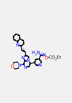 CCOC(=O)O/N=C(/N)c1cncc(-c2cnc(N3CCOCC3)c3nc(/C=C/c4ccc5ccccc5n4)cn23)c1